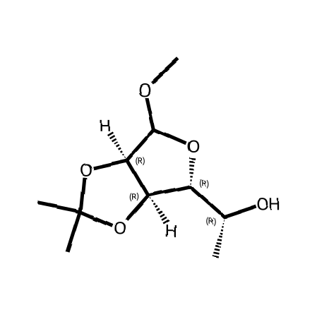 COC1O[C@H]([C@@H](C)O)[C@H]2OC(C)(C)O[C@@H]12